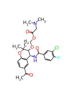 CC(=O)c1ccc2c(c1)[C@H](NC(=O)c1ccc(F)c(Cl)c1)[C@H](OCOC(=O)CN(C)C)C(C)(C)O2